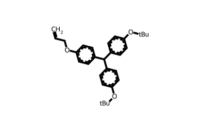 C=CCOc1ccc(C(c2ccc(OC(C)(C)C)cc2)c2ccc(OC(C)(C)C)cc2)cc1